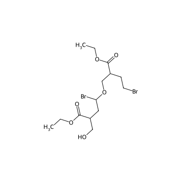 CCOC(=O)C(CCBr)COC(Br)CC(CO)C(=O)OCC